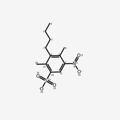 CCCCc1c(C)c([N+](=O)[O-])cc(S([O])(=O)=O)c1C